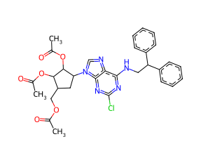 CC(=O)OCC1CC(n2cnc3c(NCC(c4ccccc4)c4ccccc4)nc(Cl)nc32)C(OC(C)=O)C1OC(C)=O